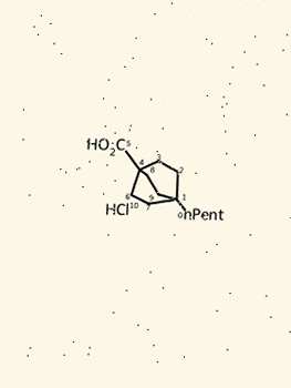 CCCCCC12CCC(C(=O)O)(CC1)CC2.Cl